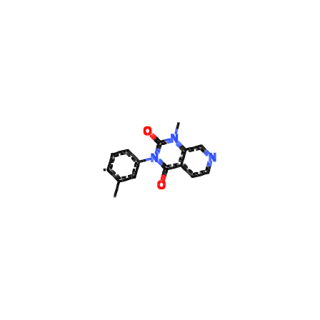 Cc1[c]ccc(-n2c(=O)c3ccncc3n(C)c2=O)c1